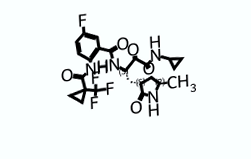 C[C@@H]1C[C@@H](C[C@H](NC(=O)c2cc(F)ccc2NC(=O)C2(C(F)(F)F)CC2)C(=O)C(=O)NC2CC2)C(=O)N1